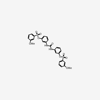 COc1cccc(S(=O)(=O)Oc2cccc(NC(=O)Nc3cccc(OS(=O)(=O)c4cccc(OC)c4)c3)c2)c1